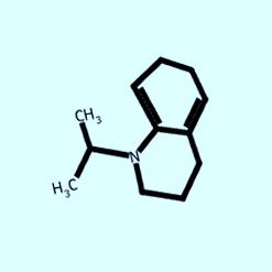 CC(C)N1CCCC2=CCCC=C21